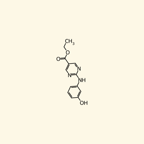 CCOC(=O)c1cnc(Nc2cccc(O)c2)nc1